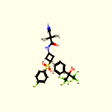 CC(C)(C#N)C(=O)N[C@H]1C[C@@](c2ccc(C(O)(C(F)(F)F)C(F)(F)F)cc2)(S(=O)(=O)c2ccc(F)cc2)C1